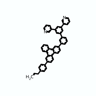 C=CCc1ccc(-c2ccc3c4ccc(-c5cccc(-c6cc(-c7cccnc7)cc(-c7cccnc7)c6)c5)cc4c4ccccc4c3c2)cc1